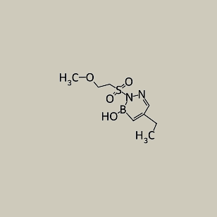 CCC1=CB(O)N(S(=O)(=O)CCOC)N=C1